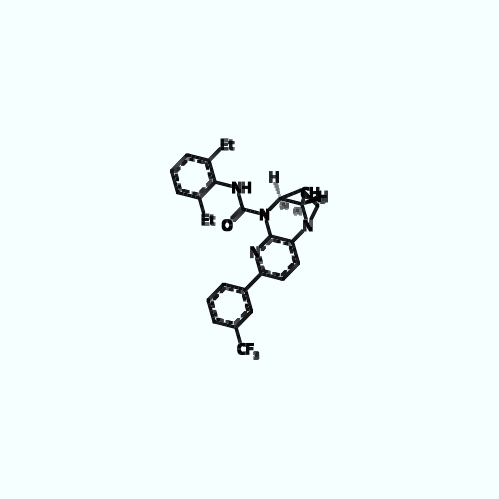 CCc1cccc(CC)c1NC(=O)N1c2nc(-c3cccc(C(F)(F)F)c3)ccc2N2CC[C@H]1[C@@H]2C